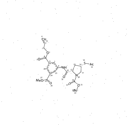 C=CCOC(=O)c1cc(NC(=O)[C@@H]2C[C@H](SC(C)=O)CN2C(=O)OC(C)(C)C)cc(C(=O)OC)c1